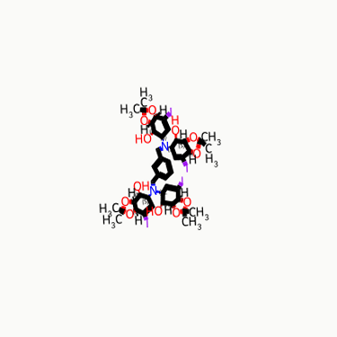 CC1(C)O[C@H]2[C@H](O)[C@@H](N(Cc3cccc(CN([C@H]4C=C(I)[C@H]5OC(C)(C)O[C@H]5[C@@H]4O)[C@H]4C=C(I)[C@H]5OC(C)(C)O[C@H]5[C@@H]4O)c3)[C@H]3C=C(I)[C@H]4OC(C)(C)O[C@H]4[C@@H]3O)C=C(I)[C@H]2O1